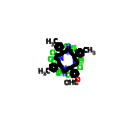 Cc1ccc(-c2c3nc(c(-c4c(Cl)cc(C)cc4Cl)c4[nH]c(c(Cl)c4Cl)c(-c4ccc(OC=O)cc4)c4nc(c(-c5c(Cl)cc(C)cc5Cl)c5[nH]c2c(Cl)c5Cl)C(Cl)=C4Cl)C(Cl)=C3Cl)cc1